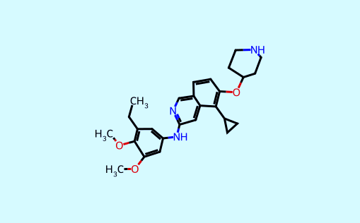 CCc1cc(Nc2cc3c(C4CC4)c(OC4CCNCC4)ccc3cn2)cc(OC)c1OC